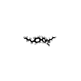 CCCCCCC1([S+]([O-])CC)CCC(C2CCC(CCCCC)CC2)CC1